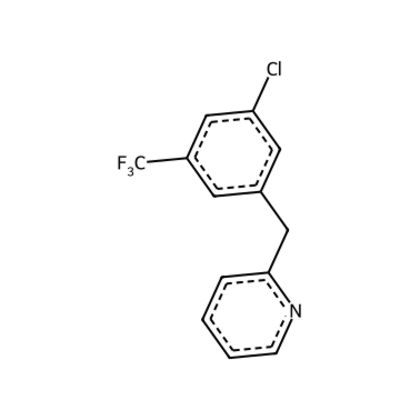 FC(F)(F)c1cc(Cl)cc(Cc2ccccn2)c1